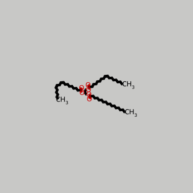 CCCCC/C=C\C/C=C\CCCCCCCC(=O)OC(COC(=O)CCCCCCC/C=C\CCCCCCCC)COC(=O)CCCCCCCCCCCCCCCCC